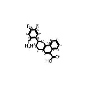 N[C@H]1Cc2cc(C(=O)O)c3ccccc3c2OC1c1cc(F)c(F)cc1F